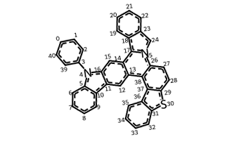 c1ccc(-n2c3ccccc3c3cc4c(cc32)c2c3ccccc3cn2c2ccc3sc5ccccc5c3c42)cc1